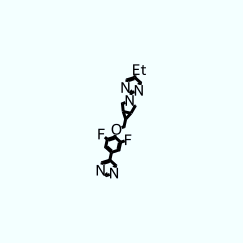 CCc1cnc(N2CC3C(COc4c(F)cc(-c5cncnc5)cc4F)C3C2)nc1